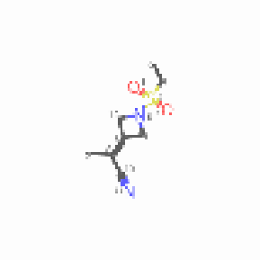 CCS(=O)(=O)N1CC(=C(C)C#N)C1